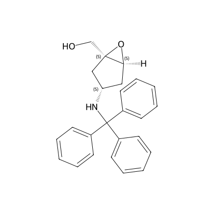 OC[C@@]12C[C@@H](NC(c3ccccc3)(c3ccccc3)c3ccccc3)C[C@@H]1O2